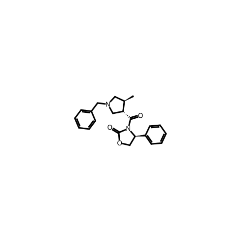 C[C@@H]1CN(Cc2ccccc2)C[C@H]1C(=O)N1C(=O)OC[C@@H]1c1ccccc1